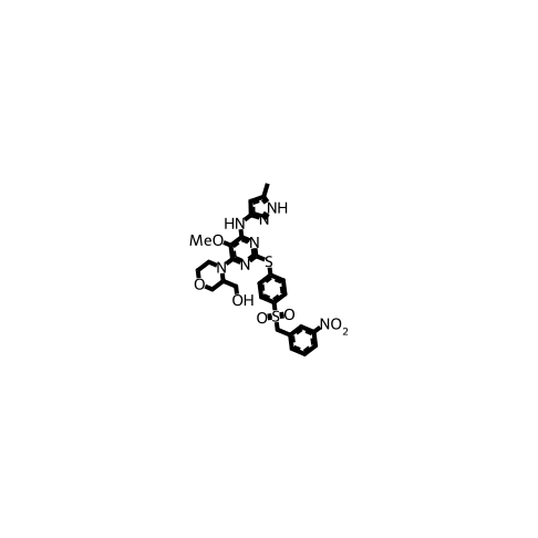 COc1c(Nc2cc(C)[nH]n2)nc(Sc2ccc(S(=O)(=O)Cc3cccc([N+](=O)[O-])c3)cc2)nc1N1CCOCC1CO